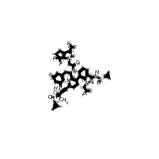 CC(C)(C#Cc1ccc(-c2cccc3c(N[S+]([O-])C4CC4)nn(CC(F)F)c23)c(C(Cc2cc(F)cc(F)c2)NC(=O)Cn2nc(C(F)F)c3c2C(F)(F)CC3)n1)[S+]([O-])C1CC1